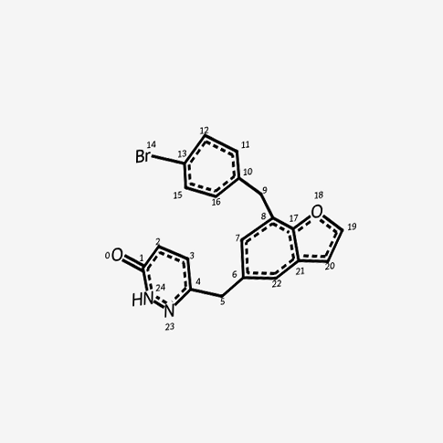 O=c1ccc(Cc2cc(Cc3ccc(Br)cc3)c3occc3c2)n[nH]1